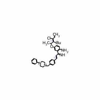 C=C/C(Cl)=C(\C(C)CC)C(C)Oc1ccc(N)c(C(=N)/C=C/c2ccc(CN3CCN(c4ccccc4)CC3)cc2)c1